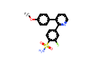 NS(=O)(=O)c1ccc(-c2ncccc2-c2ccc(OC(F)(F)F)cc2)cc1F